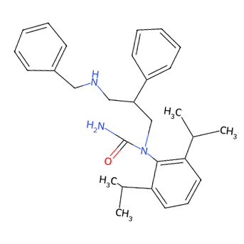 CC(C)c1cccc(C(C)C)c1N(CC(CNCc1ccccc1)c1ccccc1)C(N)=O